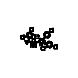 CCc1c(-c2nnc(C3(c4ccc(Cl)cc4Cl)CC3)o2)nn(-c2ccc(Cl)cc2Cl)c1-c1ccc(Cl)cc1